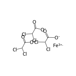 O=C([O-])C(Cl)Cl.O=C([O-])C(Cl)Cl.O=C([O-])C(Cl)Cl.[Fe+3]